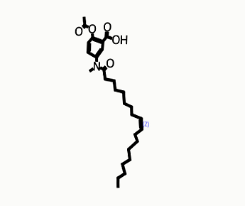 CCCCCCCC/C=C\CCCCCCCC(=O)N(C)c1ccc(OC(C)=O)c(C(=O)O)c1